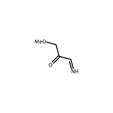 COCC(=O)C=N